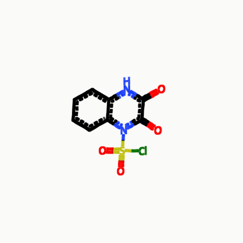 O=c1[nH]c2ccccc2n(S(=O)(=O)Cl)c1=O